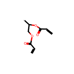 [CH2]C(COC(=O)C=C)OC(=O)C=C